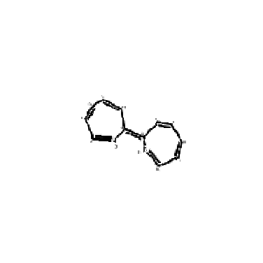 C1=CC=NC(=C2C=CC=CC=N2)C=C1